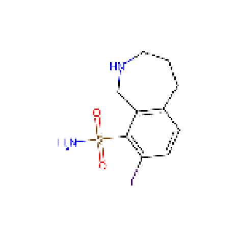 NS(=O)(=O)c1c(I)ccc2c1CNCCC2